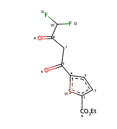 CCOC(=O)c1ccc(C(=O)CC(=O)C(F)F)s1